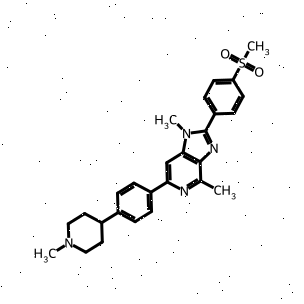 Cc1nc(-c2ccc(C3CCN(C)CC3)cc2)cc2c1nc(-c1ccc(S(C)(=O)=O)cc1)n2C